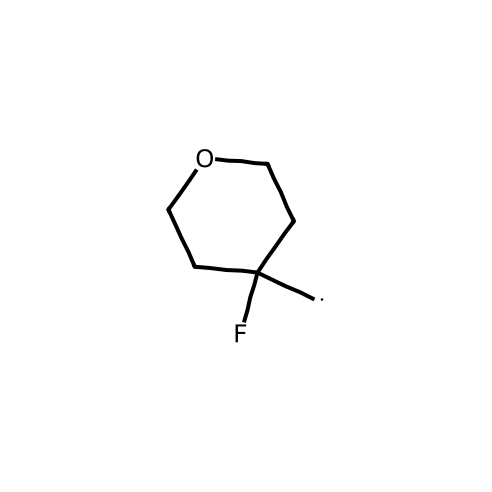 [CH2]C1(F)CCOCC1